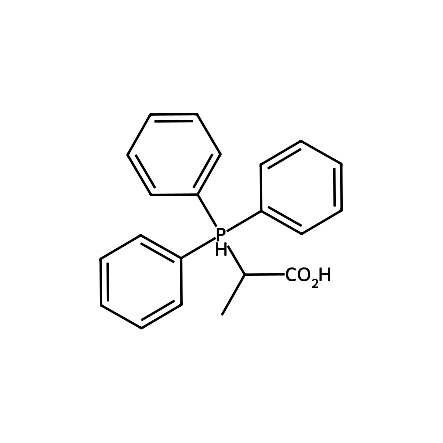 CC(C(=O)O)[PH](c1ccccc1)(c1ccccc1)c1ccccc1